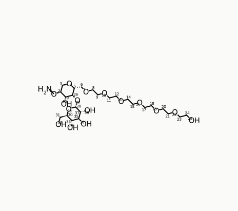 NO[C@H]1[CH]O[C@H](COCCOCCOCCOCCOCCOCCO)[C@@H](O[C@H]2O[C@H](CO)[C@@H](O)[C@H](O)[C@H]2O)[C@@H]1O